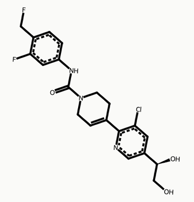 O=C(Nc1ccc(CF)c(F)c1)N1CC=C(c2ncc([C@@H](O)CO)cc2Cl)CC1